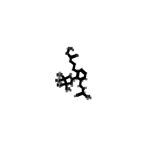 COC(=O)CCCc1cccc(COC(C)=O)c1B1OC(C)(C)C(C)(C)O1